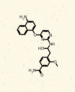 COc1cc(C(N)=O)ccc1CC(O)Nc1nccc(Oc2ccc(N)c3ccccc23)n1